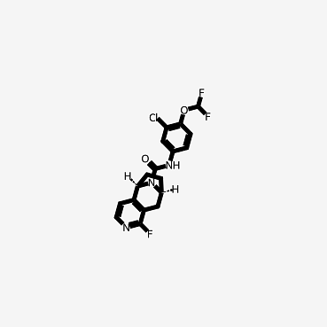 O=C(Nc1ccc(OC(F)F)c(Cl)c1)N1[C@H]2CC[C@@H]1c1ccnc(F)c1C2